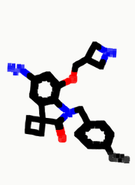 COc1ccc(CN2C(=O)C3(CCC3)c3cc(N)cc(OCC4CNC4)c32)cc1